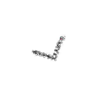 [Fe+3].[Fe+3].[Fe+3].[O]=[Nb](=[O])[O-].[O]=[Nb](=[O])[O-].[O]=[Nb](=[O])[O-].[O]=[Nb](=[O])[O-].[O]=[Nb](=[O])[O-].[O]=[W](=[O])([O-])[O-].[O]=[W](=[O])([O-])[O-].[O]=[W](=[O])([O-])[O-].[O]=[W](=[O])([O-])[O-].[O]=[W](=[O])([O-])[O-].[Pb+2].[Pb+2].[Pb+2]